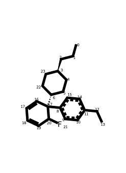 CCC[C@H]1CC[C@H](C2(c3ccc(CC)cc3)C=CC=CC2F)CC1